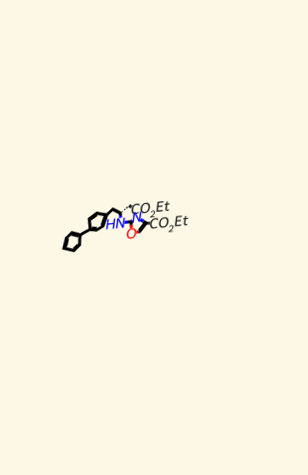 CCOC(=O)C[C@@H](Cc1ccc(-c2ccccc2)cc1)Nc1nc(C(=O)OCC)co1